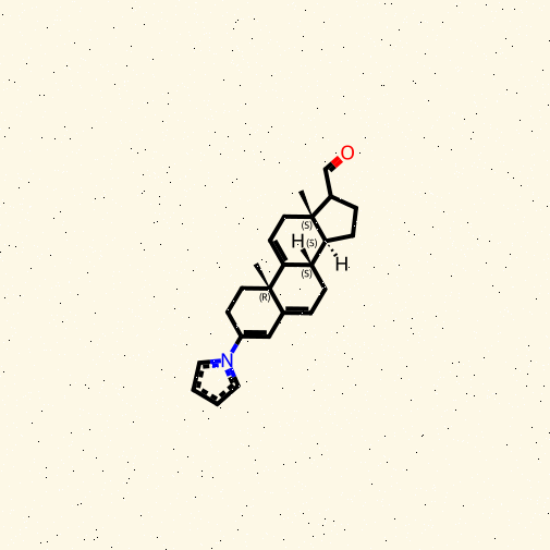 C[C@]12CCC(n3cccc3)=CC1=CC[C@@H]1C2=CC[C@]2(C)C(C=O)CC[C@@H]12